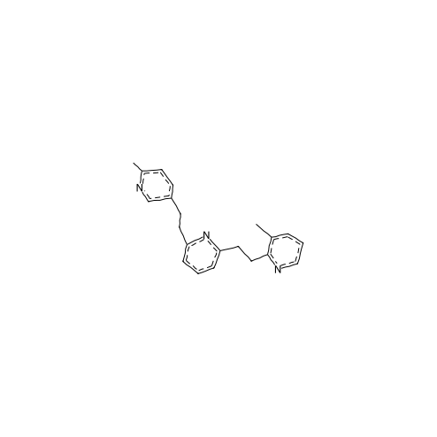 Cc1ccc(CCc2cccc(CCc3ncccc3C)n2)cn1